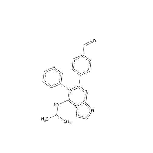 CC(C)Nc1c(-c2ccccc2)c(-c2ccc(C=O)cc2)nc2nccn12